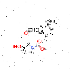 O=C(OCc1ccc([N+](=O)[O-])cc1)N1CCC(O)C1.O=CO